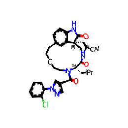 CC(C)C[C@H]1C(=O)N2C[C@]3(C[C@H]2C#N)C(=O)Nc2ccc(cc23)CCCCCN1C(=O)c1cnn(-c2ccccc2Cl)c1